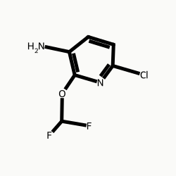 Nc1ccc(Cl)nc1OC(F)F